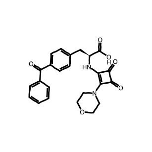 O=C(c1ccccc1)c1ccc(C[C@H](Nc2c(N3CCOCC3)c(=O)c2=O)C(=O)O)cc1